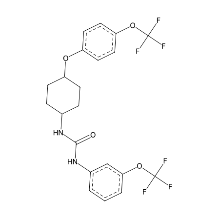 O=C(Nc1cccc(OC(F)(F)F)c1)NC1CCC(Oc2ccc(OC(F)(F)F)cc2)CC1